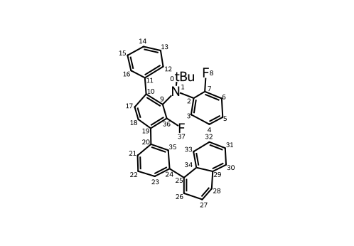 CC(C)(C)N(c1ccccc1F)c1c(-c2ccccc2)ccc(-c2cccc(-c3cccc4ccccc34)c2)c1F